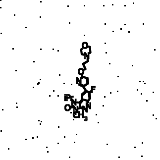 CC(C)n1c(=O)n(C)c2nnc3cc(F)c(-c4ccc(OCCCN5CCOCC5)nc4)cc3c21